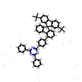 CC(C)(C)c1ccc2c(c1)C1(c3cc(C(C)(C)C)ccc3-2)c2ccccc2-c2c(-c3ccc(-c4nc(-c5ccccc5)nc(-c5ccccc5)n4)cc3)cccc21